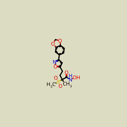 CC(CCc1cc(-c2ccc3c(c2)OCO3)no1)(C(=O)NO)S(C)(=O)=O